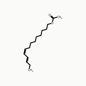 CC/C=C/C=C\CCCCCCCCOC(C)=O